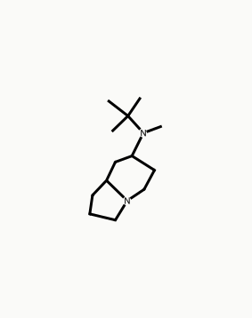 CN(C1CCN2CCCC2C1)C(C)(C)C